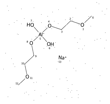 COCC[O][Al-]([OH])([OH])[O]CCOC.[Na+]